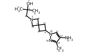 CC(C)(O)CN1CC2(CC(n3cc(N)c(C(F)(F)F)n3)C2)C1